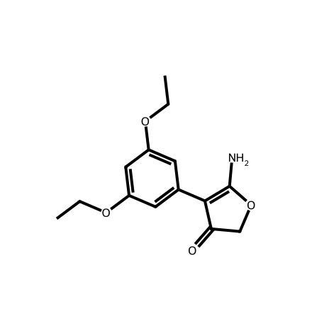 CCOc1cc(OCC)cc(C2=C(N)OCC2=O)c1